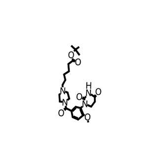 COc1ccc(C(=O)N2CCN(CCCCCC(=O)OC(C)(C)C)CC2)cc1N1CCC(=O)NC1=O